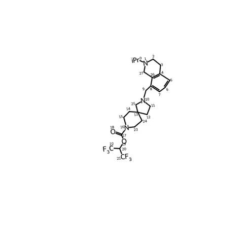 CC(C)N1CCc2cccc(CN3CCC4(CCN(C(=O)OC(C(F)(F)F)C(F)(F)F)CC4)C3)c2C1